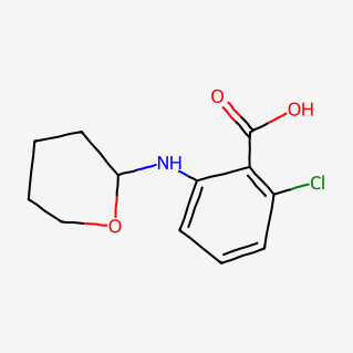 O=C(O)c1c(Cl)cccc1NC1CCCCO1